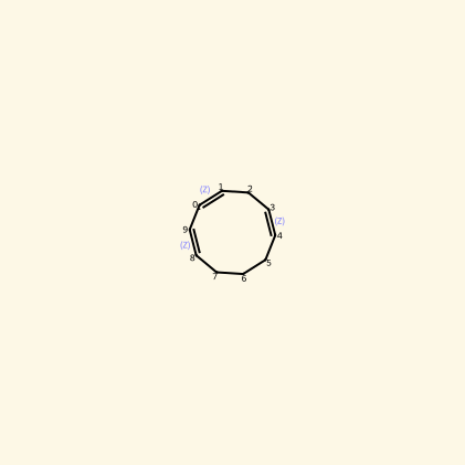 [C]1=C\C/C=C\CCC\C=C/1